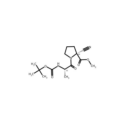 COC(=O)[C@]1(C#N)CCCN1C(=O)[C@H](C)NC(=O)OC(C)(C)C